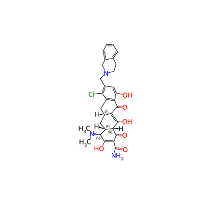 CN(C)[C@@H]1C(O)=C(C(N)=O)C(=O)[C@H]2C(O)=C3C(=O)c4c(O)cc(CN5CCc6ccccc6C5)c(Cl)c4C[C@H]3C[C@H]21